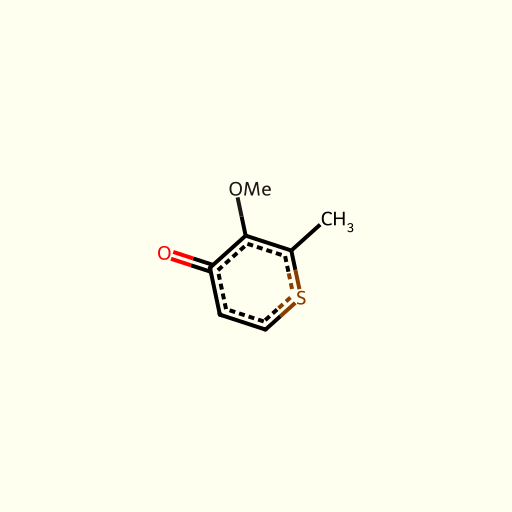 COc1c(C)sccc1=O